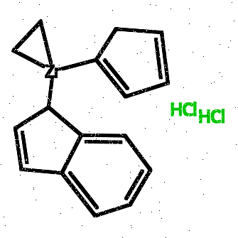 C1=CC[C]([Zr]2([CH]3C=Cc4ccccc43)[CH2][CH2]2)=C1.Cl.Cl